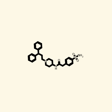 NS(=O)(=O)c1ccc(CC(=O)NC2CCN(CCC(c3ccccc3)c3ccccc3)CC2)cc1